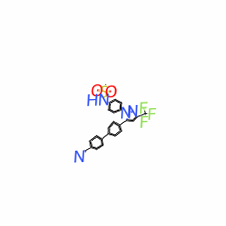 CS(=O)(=O)Nc1ccc(-n2nc(C(F)(F)F)cc2-c2ccc(-c3ccc(C#N)cc3)cc2)cc1